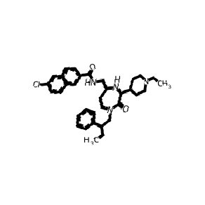 CCC(CN1CCC(CNC(=O)c2ccc3cc(Cl)ccc3c2)NC(C2CCN(CC)CC2)C1=O)c1ccccc1